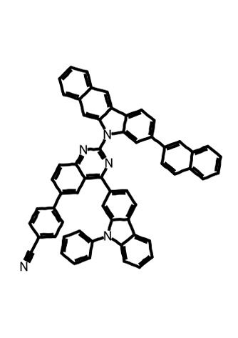 N#Cc1ccc(-c2ccc3nc(-n4c5cc(-c6ccc7ccccc7c6)ccc5c5cc6ccccc6cc54)nc(-c4ccc5c6ccccc6n(-c6ccccc6)c5c4)c3c2)cc1